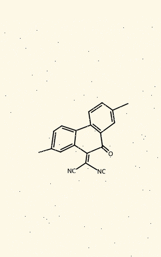 [C-]#[N+]/C(C#N)=C1\C(=O)c2cc(C)ccc2-c2ccc(C)cc21